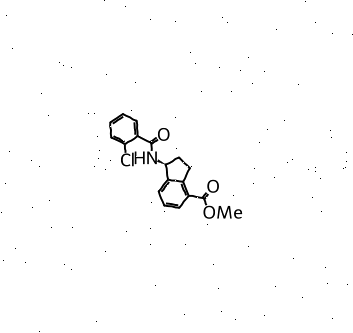 COC(=O)c1cccc2c1CC[C@@H]2NC(=O)c1ccccc1Cl